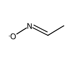 C/C=N/[O]